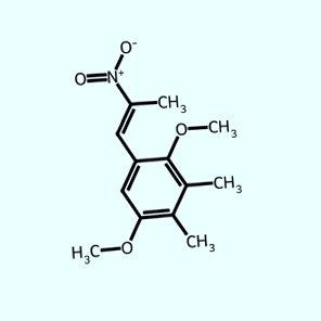 COc1cc(/C=C(\C)[N+](=O)[O-])c(OC)c(C)c1C